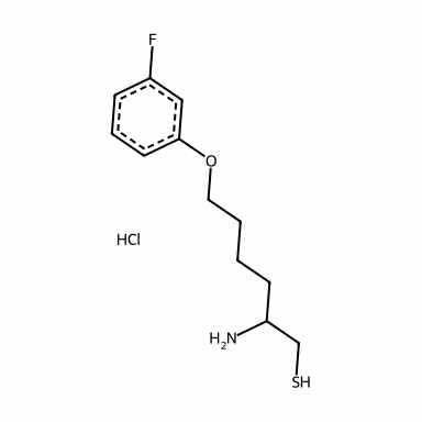 Cl.NC(CS)CCCCOc1cccc(F)c1